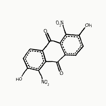 O=C1c2ccc(O)c([N+](=O)[O-])c2C(=O)c2ccc(O)c([N+](=O)[O-])c21